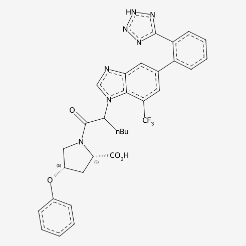 CCCCC(C(=O)N1C[C@@H](Oc2ccccc2)C[C@H]1C(=O)O)n1cnc2cc(-c3ccccc3-c3nn[nH]n3)cc(C(F)(F)F)c21